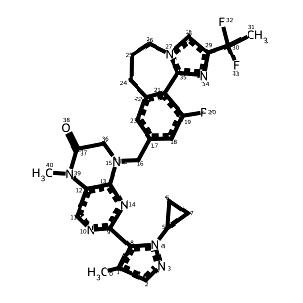 Cc1cnn(C2CC2)c1-c1ncc2c(n1)N(Cc1cc(F)c3c(c1)CCCn1cc(C(C)(F)F)nc1-3)CC(=O)N2C